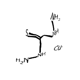 NNC(=S)NN.[Cu]